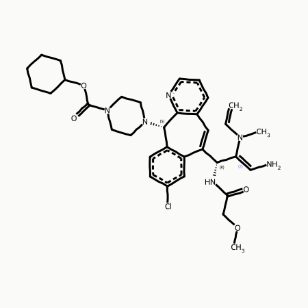 C=CN(C)/C(=C\N)[C@H](NC(=O)COC)C1=Cc2cccnc2[C@@H](N2CCN(C(=O)OC3CCCCC3)CC2)c2ccc(Cl)cc21